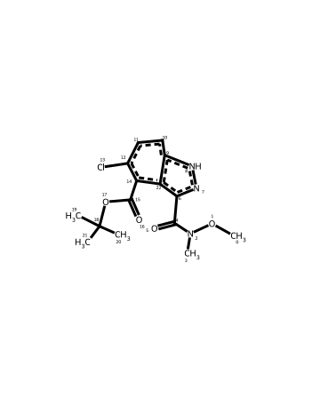 CON(C)C(=O)c1n[nH]c2ccc(Cl)c(C(=O)OC(C)(C)C)c12